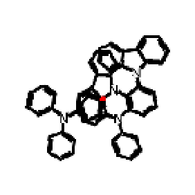 c1ccc(N(c2ccccc2)c2ccc3c(c2)c2ccccc2n3-c2c(N(c3ccccc3)c3ccccc3)cccc2-n2c3ccccc3c3ccccc32)cc1